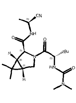 C[C@@H](C#N)NC(=O)[C@@H]1[C@@H]2[C@H](CN1C(=O)[C@@H](NC(=O)N(C)C)C(C)(C)C)C2(C)C